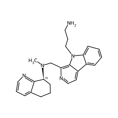 CN(Cc1nccc2c3ccccc3n(CCCN)c12)[C@H]1CCCc2cccnc21